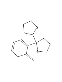 S=C1CC=CC=C1C1(C2CCCS2)CCC[N]1